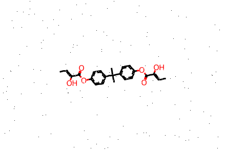 CC=C(O)C(=O)Oc1ccc(C(C)(C)c2ccc(OC(=O)C(O)=CC)cc2)cc1